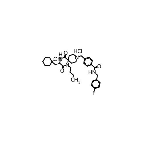 CCCCN1C(=O)[C@@H](CC2(O)CCCCC2)NC(=O)C12CCN(Cc1ccc(C(=O)NCc3ccc(F)cc3)cc1)CC2.Cl